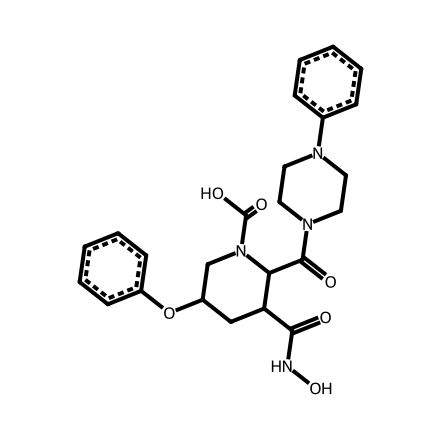 O=C(NO)C1CC(Oc2ccccc2)CN(C(=O)O)C1C(=O)N1CCN(c2ccccc2)CC1